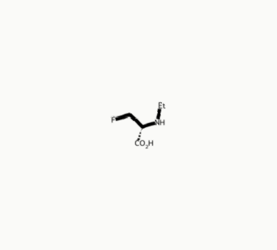 CCN[C@@H](CF)C(=O)O